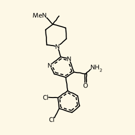 CNC1(C)CCN(c2ncc(-c3cccc(Cl)c3Cl)c(C(N)=O)n2)CC1